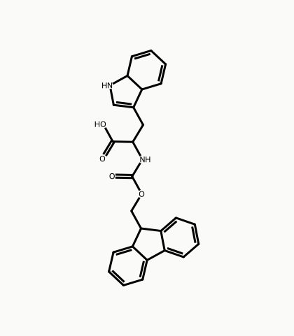 O=C(NC(CC1=CNC2C=CC=CC12)C(=O)O)OCC1c2ccccc2-c2ccccc21